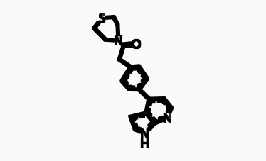 O=C(Cc1ccc(-c2ccnc3[nH]ccc23)cc1)N1CCSCC1